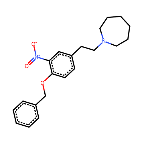 O=[N+]([O-])c1cc(CCN2CCCCCC2)ccc1OCc1ccccc1